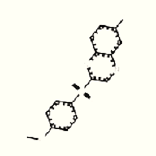 COc1ccc(S(=O)(=O)c2cnc3cc(Cl)ccc3n2)cc1